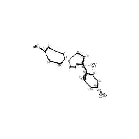 CCCCC1CCC([C@H]2CC[C@](C#N)(C3=CC[C@H](CCCC)CC3)CC2)CC1